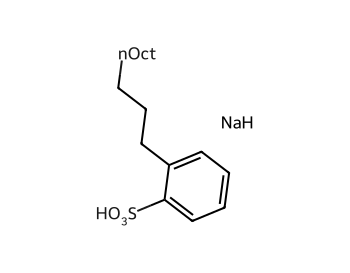 CCCCCCCCCCCc1ccccc1S(=O)(=O)O.[NaH]